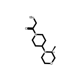 C[C@H]1COCCN1C1CCN(C(=O)CC(C)(C)C)CC1